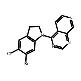 Clc1cc2c(cc1Br)N(c1ncnc3cnccc13)CC2